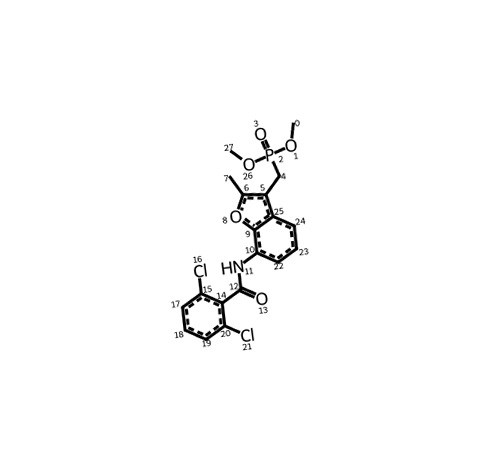 COP(=O)(Cc1c(C)oc2c(NC(=O)c3c(Cl)cccc3Cl)cccc12)OC